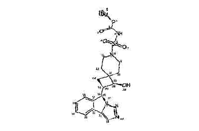 CC(C)(C)OC(=O)NS(=O)(=O)N1CCC2(CC1)C[C@H]([C@@H]1c3ccccc3-c3cncn31)[C@@H]2O